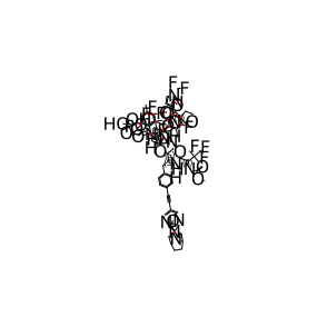 COC(=O)N[C@H](C(=O)N[C@@H](Cc1ccc(C#Cc2cnc(N3CC4CCC(C3)N4C3COC3)nc2)cc1)[C@H](CN(Cc1c(F)cc(-c2ccn(C(F)F)n2)cc1F)NC(=O)[C@@H](NC(=O)OC)C(C)(C)C(F)(F)F)OC(=O)CC(C)(C)c1c(CC(=O)N[C@@]2(C(=O)OC)CCOC2)cc(C)cc1OP(=O)(O)O)C(C)(C)C(F)(F)F